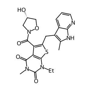 CCn1c(=O)n(C)c(=O)c2c(C(=O)N3C[C@H](O)CO3)c(Cc3c(C)[nH]c4ncccc34)sc21